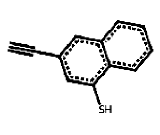 C#Cc1cc(S)c2ccccc2c1